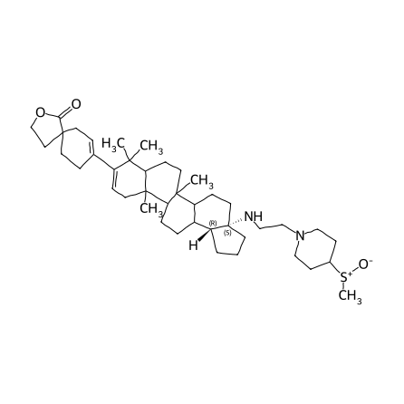 C[S+]([O-])C1CCN(CCN[C@]23CCC[C@@H]2C2CCC4C(C)(CCC5C(C)(C)C(C6=CCC7(CCOC7=O)CC6)=CCC54C)C2CC3)CC1